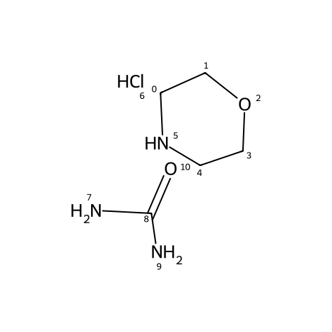 C1COCCN1.Cl.NC(N)=O